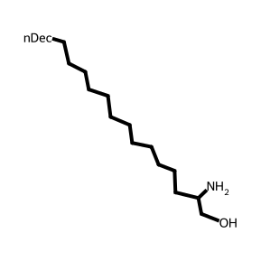 CCCCCCCCCCCCCCCCCCCCCCC(N)CO